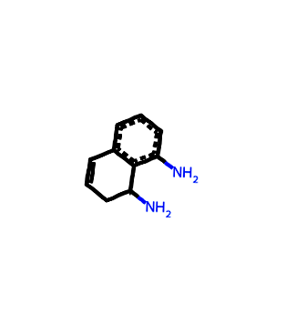 N[C]1CC=Cc2cccc(N)c21